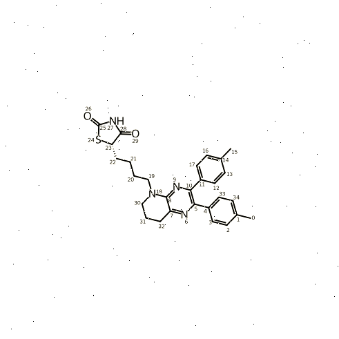 Cc1ccc(-c2nc3c(nc2-c2ccc(C)cc2)N(CCCC[C@@H]2SC(=O)NC2=O)CCC3)cc1